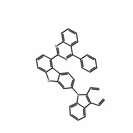 C=Cc1c(C=C)n(-c2ccc3c(c2)oc2cccc(-c4nc(-c5ccccc5)c5ccccc5n4)c23)c2ccccc12